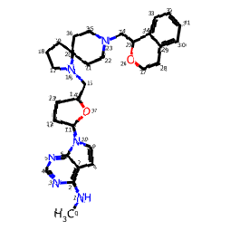 CNc1ncnc2c1ccn2C1CCC(CN2CCCC23CCN(CC2OCCc4ccccc42)CC3)O1